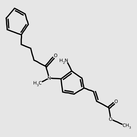 COC(=O)C=Cc1ccc(N(C)C(=O)CCCc2ccccc2)c(N)c1